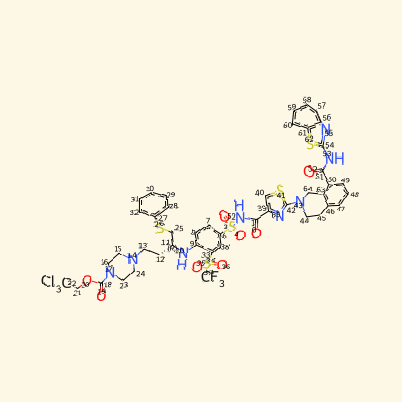 O=C(NS(=O)(=O)c1ccc(N[C@H](CCN2CCN(C(=O)OCC(Cl)(Cl)Cl)CC2)CSc2ccccc2)c(S(=O)(=O)C(F)(F)F)c1)c1csc(N2CCc3cccc(C(=O)Nc4nc5ccccc5s4)c3C2)n1